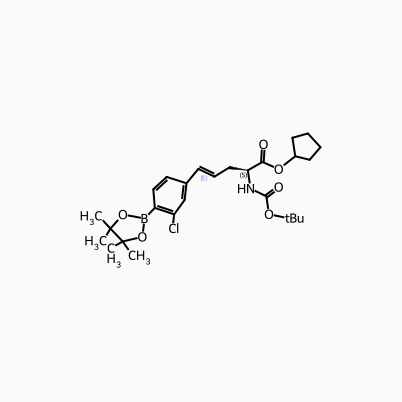 CC(C)(C)OC(=O)N[C@@H](C/C=C/c1ccc(B2OC(C)(C)C(C)(C)O2)c(Cl)c1)C(=O)OC1CCCC1